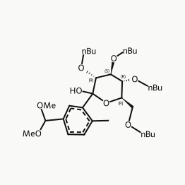 CCCCOC[C@H]1OC(O)(c2cc(C(OC)OC)ccc2C)[C@H](OCCCC)[C@@H](OCCCC)[C@@H]1OCCCC